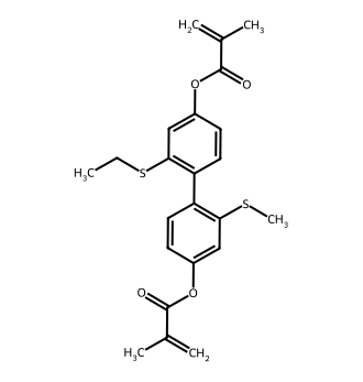 C=C(C)C(=O)Oc1ccc(-c2ccc(OC(=O)C(=C)C)cc2SCC)c(SC)c1